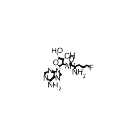 Nc1ncnc2c1ncn2[C@@H]1O[C@H](CO)[C@H](O)C1NC(=O)C(N)CCCF